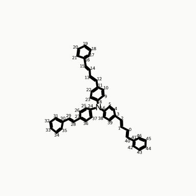 C(/C=C/c1ccc(N(c2ccc(/C=C/C=C/c3ccccc3)cc2)c2ccc(/C=C/c3ccccc3)cc2)cc1)=C\c1ccccc1